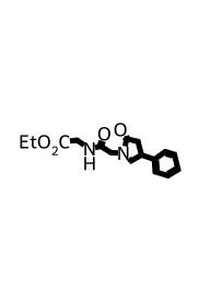 CCOC(=O)CNC(=O)CN1CC(c2ccccc2)CC1=O